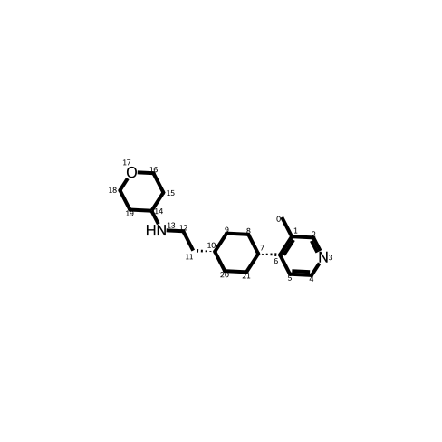 Cc1cnccc1[C@H]1CC[C@@H](CCNC2CCOCC2)CC1